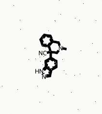 CN1Cc2ccccc2C(C#N)(c2ccc3cn[nH]c3c2)C1